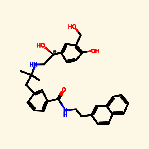 CC(C)(Cc1cccc(C(=O)NCCc2ccc3ccccc3c2)c1)NC[C@@H](O)c1ccc(O)c(CO)c1